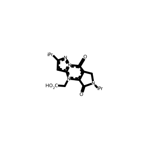 CC(C)c1cc2n(CC(=O)O)c3c(c(=O)n2n1)CN(C(C)C)C3=O